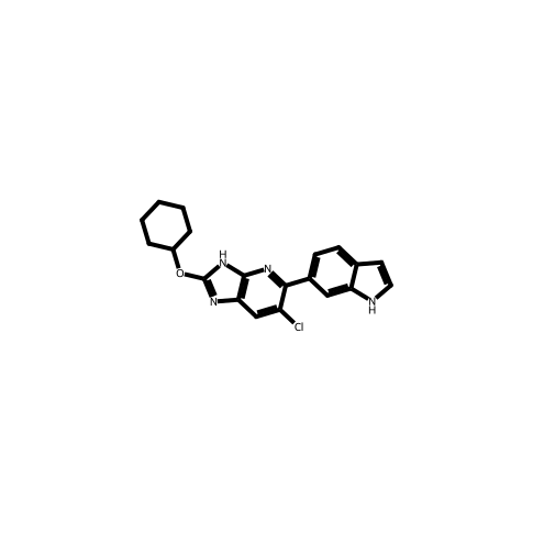 Clc1cc2nc(OC3CCCCC3)[nH]c2nc1-c1ccc2cc[nH]c2c1